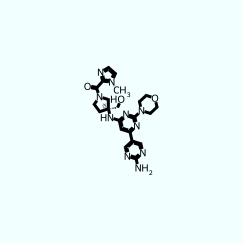 Cn1ccnc1C(=O)N1CC[C@](CO)(Nc2cc(-c3cnc(N)nc3)nc(N3CCOCC3)n2)C1